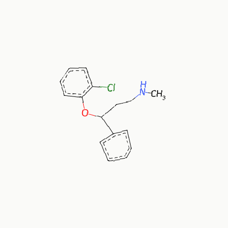 CNCCC(Oc1ccccc1Cl)c1ccccc1